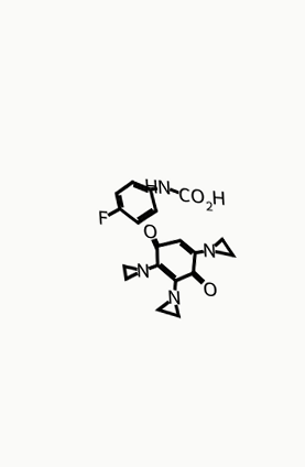 O=C(O)Nc1ccc(F)cc1.O=C1C=C(N2CC2)C(=O)C(N2CC2)=C1N1CC1